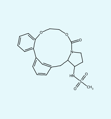 CS(=O)(=O)NC1CCN2C(=O)OCCOc3ccccc3-c3cccc(c3)CC12